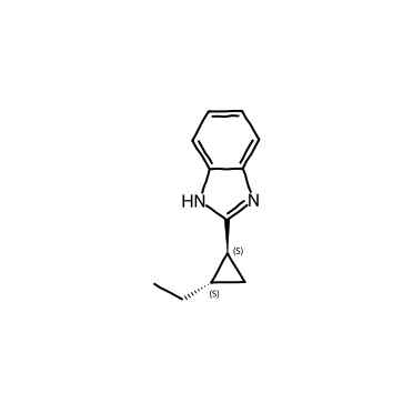 CC[C@H]1C[C@@H]1c1nc2ccccc2[nH]1